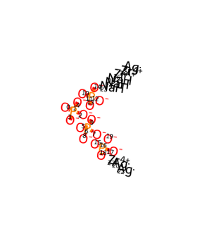 O=P([O-])([O-])[O-].O=P([O-])([O-])[O-].O=P([O-])([O-])[O-].O=P([O-])([O-])[O-].[Ag].[Ag].[Ag].[NaH].[NaH].[NaH].[Zr+4].[Zr+4].[Zr+4]